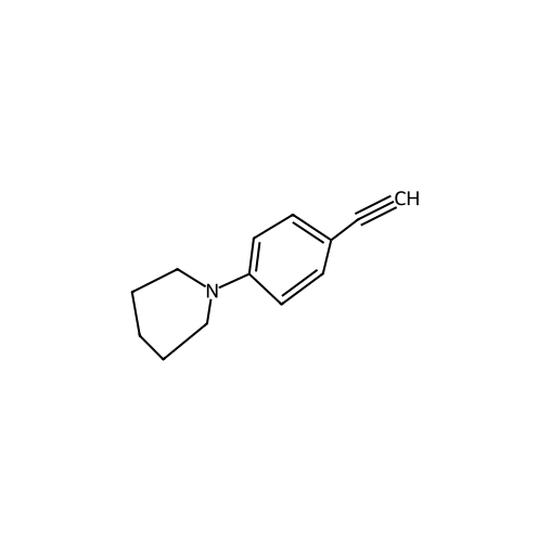 C#Cc1ccc(N2CCCCC2)cc1